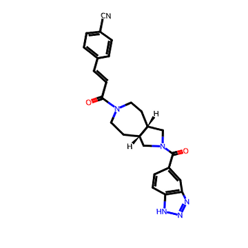 N#Cc1ccc(/C=C/C(=O)N2CC[C@@H]3CN(C(=O)c4ccc5[nH]nnc5c4)C[C@@H]3CC2)cc1